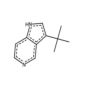 CC(C)(C)c1c[nH]c2ccncc12